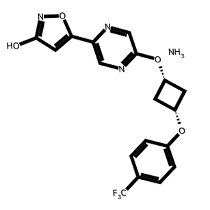 N.Oc1cc(-c2cnc(O[C@H]3C[C@@H](Oc4ccc(C(F)(F)F)cc4)C3)cn2)on1